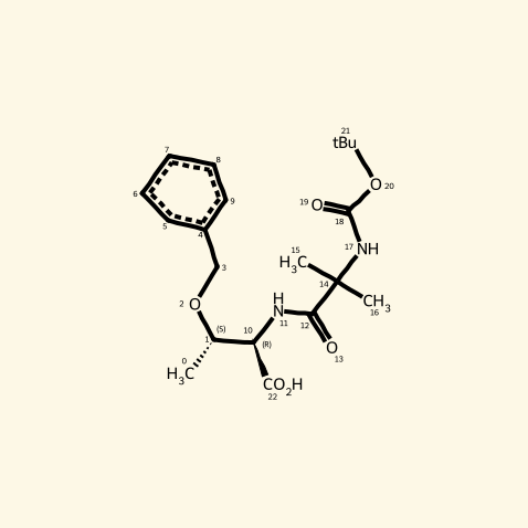 C[C@H](OCc1ccccc1)[C@@H](NC(=O)C(C)(C)NC(=O)OC(C)(C)C)C(=O)O